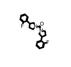 O=C(N1CCC(c2ccccc2F)C1)N1CCC(c2ccccc2F)C1